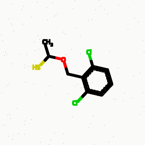 CC(S)OCc1c(Cl)cccc1Cl